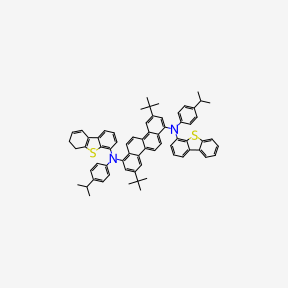 CC(C)c1ccc(N(c2cc(C(C)(C)C)cc3c2ccc2c4cc(C(C)(C)C)cc(N(c5ccc(C(C)C)cc5)c5cccc6c5sc5ccccc56)c4ccc32)c2cccc3c4c(sc23)CCC=C4)cc1